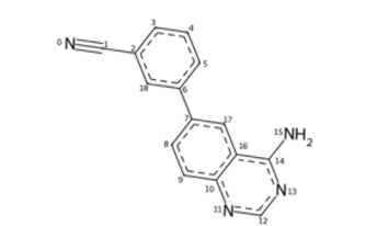 N#Cc1cccc(-c2ccc3ncnc(N)c3c2)c1